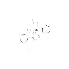 CCCCCP(=O)(C(=O)c1c(CC)cccc1CC)C(=O)c1c(CC)cccc1CC